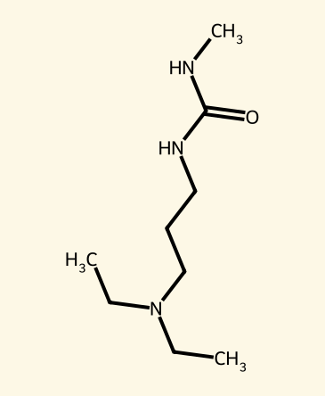 CCN(CC)CCCNC(=O)NC